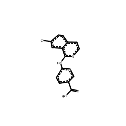 O=C(O)c1ccc(Nc2nccc3ccc(Cl)cc23)nc1